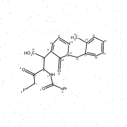 CCCC(=O)NC(C(=O)CF)C(C(=O)O)c1ccnn(Cc2ccccc2C)c1=O